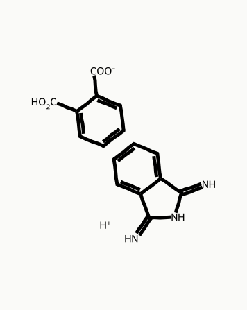 N=C1NC(=N)c2ccccc21.O=C([O-])c1ccccc1C(=O)O.[H+]